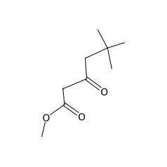 COC(=O)CC(=O)CC(C)(C)C